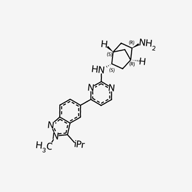 CC(C)c1c2cc(-c3ccnc(N[C@H]4C[C@H]5C[C@H]4C[C@H]5N)n3)ccc2nn1C